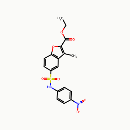 CCOC(=O)c1oc2ccc(S(=O)(=O)Nc3ccc([N+](=O)[O-])cc3)cc2c1C